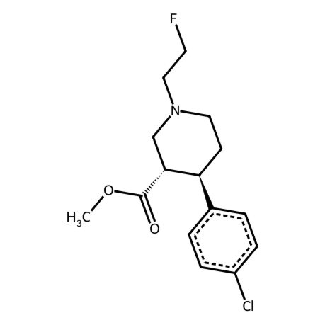 COC(=O)[C@@H]1CN(CCF)CC[C@H]1c1ccc(Cl)cc1